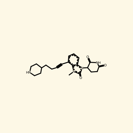 Cn1c(=O)n(C2CCC(=O)NC2=O)c2cccc(C#CCCC3CCNCC3)c21